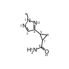 Cn1ncc(C2CC2C(N)=O)n1